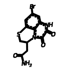 NC(=O)CC1CSc2cc(Br)cc3[nH]c(=O)c(=O)n1c23